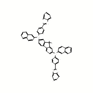 CC1(C)c2cc(N(c3ccc(-c4nc5ccccc5o4)cc3)c3ccc4ccccc4c3)ccc2-c2ccc(N(c3ccc(-c4nc5ccccc5o4)cc3)c3ccc4ccccc4c3)cc21